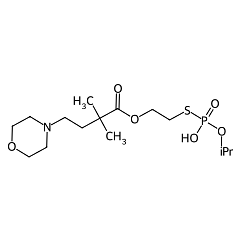 CC(C)OP(=O)(O)SCCOC(=O)C(C)(C)CCN1CCOCC1